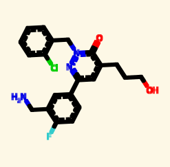 NCc1cc(-c2cc(CCCO)c(=O)n(Cc3ccccc3Cl)n2)ccc1F